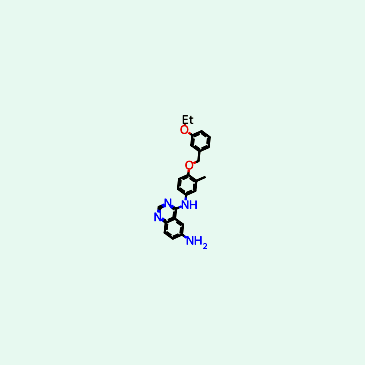 CCOc1cccc(COc2ccc(Nc3ncnc4ccc(N)cc34)cc2C)c1